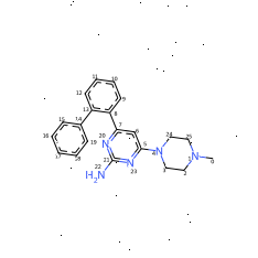 CN1CCN(c2cc(-c3ccccc3-c3ccccc3)nc(N)n2)CC1